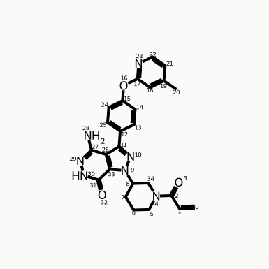 C=CC(=O)N1CCCC(n2nc(-c3ccc(Oc4cc(C)ccn4)cc3)c3c(N)n[nH]c(=O)c32)C1